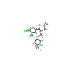 CC(=O)N1C[C@H](c2ccc(Cl)c(Cl)c2)[C@@H](N(C)Cc2ccc(C(F)(F)F)c(F)c2)C1